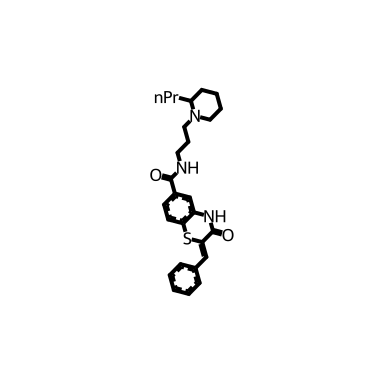 CCCC1CCCCN1CCCNC(=O)c1ccc2c(c1)NC(=O)C(=Cc1ccccc1)S2